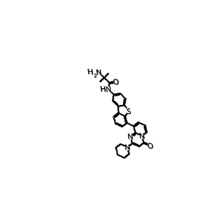 CC(C)(N)C(=O)Nc1ccc2sc3c(-c4cccn5c(=O)cc(N6CCCCC6)nc45)cccc3c2c1